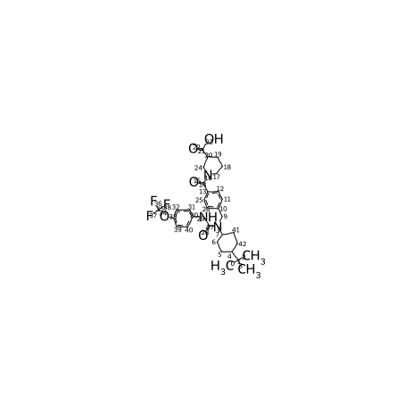 CC(C)(C)C1CCC(N(Cc2ccc(C(=O)N3CCCC(C(=O)O)C3)cc2)C(=O)Nc2ccc(OC(F)(F)F)cc2)CC1